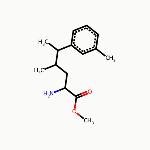 COC(=O)C(N)CC(C)C(C)c1cccc(C)c1